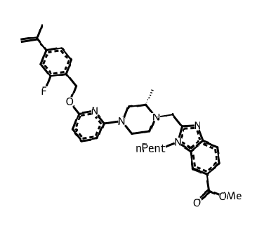 C=C(C)c1ccc(COc2cccc(N3CCN(Cc4nc5ccc(C(=O)OC)cc5n4CCCCC)[C@@H](C)C3)n2)c(F)c1